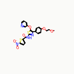 COCCOc1ccc(-c2nc(NC(=O)c3ccc([N+](=O)[O-])s3)sc2Oc2cccnc2)cc1